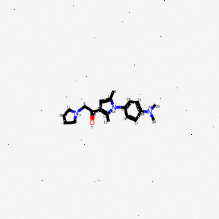 Cc1cc(C(=O)CN2CCCC2)c(C)n1-c1ccc(N(C)C)cc1